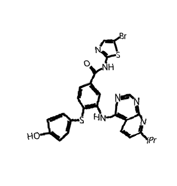 CC(C)c1ccc2c(Nc3cc(C(=O)Nc4ncc(Br)s4)ccc3Sc3ccc(O)cc3)ncnc2n1